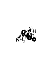 CC(=O)O.NCCCn1cc(-c2nc3ccc(-c4ccccc4)cc3[nH]c2=O)c2ccccc21